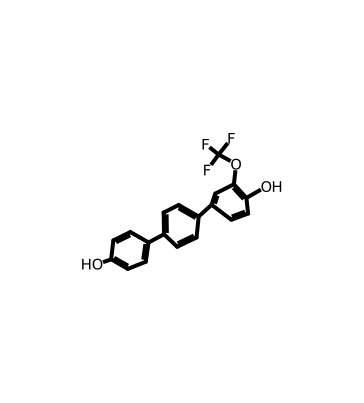 Oc1ccc(-c2ccc(-c3ccc(O)c(OC(F)(F)F)c3)cc2)cc1